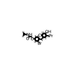 CC(C)c1cc(Cc2c(Cl)cc(OCC(=O)NC3CC3)cc2Br)ccc1O